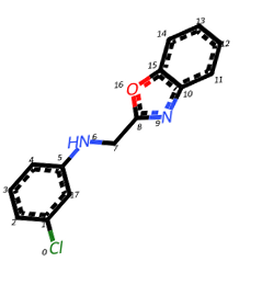 Clc1cccc(NCc2nc3ccccc3o2)c1